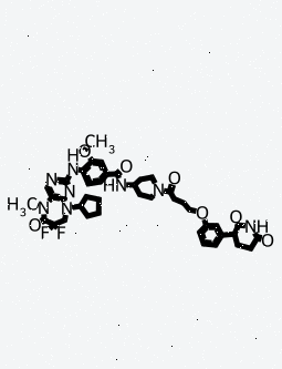 COc1cc(C(=O)NC2CCN(C(=O)CCCOc3cccc(C4CCC(=O)NC4=O)c3)CC2)ccc1Nc1ncc2c(n1)N(C1CCCC1)CC(F)(F)C(=O)N2C